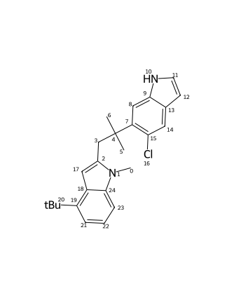 Cn1c(CC(C)(C)c2cc3[nH]ccc3cc2Cl)cc2c(C(C)(C)C)cccc21